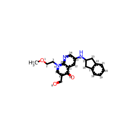 COCCn1cc(C=O)c(=O)c2cc(NC3Cc4ccccc4C3)cnc21